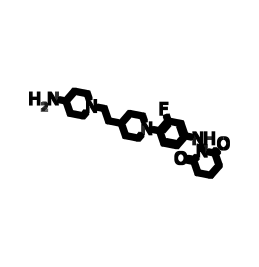 NC1CCN(CCC2CCN(c3ccc(NN4C(=O)CCCC4=O)cc3F)CC2)CC1